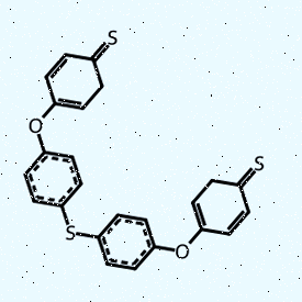 S=C1C=CC(Oc2ccc(Sc3ccc(OC4=CCC(=S)C=C4)cc3)cc2)=CC1